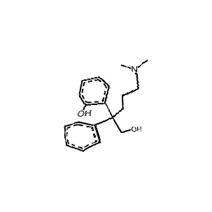 CN(C)CCCC(CO)(c1ccccc1)c1ccccc1O